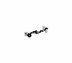 C=CC(=O)NCCCN/N=N\C(=C)CNCc1cccc(OC(F)(F)F)c1